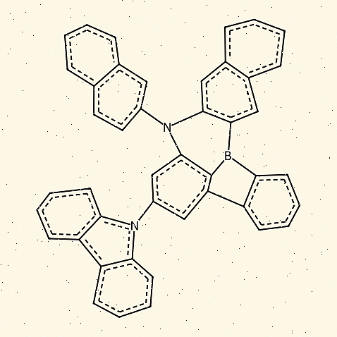 c1ccc2c(c1)B1c3cc4ccccc4cc3N(c3ccc4ccccc4c3)c3cc(-n4c5ccccc5c5ccccc54)cc-2c31